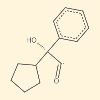 O=[C][C@](O)(c1ccccc1)C1CCCC1